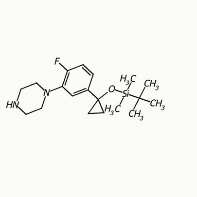 CC(C)(C)[Si](C)(C)OC1(c2ccc(F)c(N3CCNCC3)c2)CC1